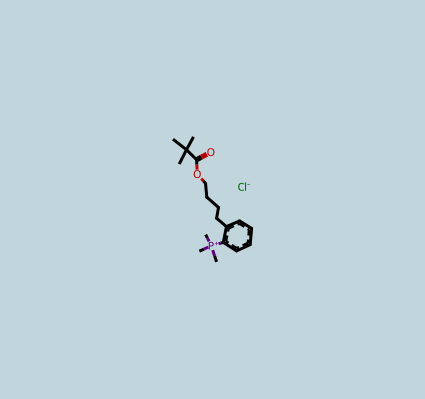 CC(C)(C)C(=O)OCCCCc1ccccc1[P+](C)(C)C.[Cl-]